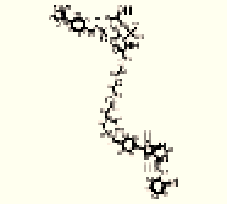 Cc1ncsc1-c1ccc(CNC(=O)[C@@H]2C[C@@H](O)CN2C(=O)[C@@H](NC(=O)COCCOCCOCCN2CCN(Cc3ccc(-c4cc5c(NCc6ccccc6Cl)ncnc5[nH]4)cc3)CC2)C(C)(C)C)cc1